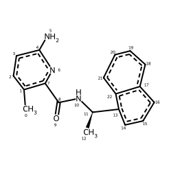 Cc1ccc(N)nc1C(=O)N[C@H](C)c1cccc2ccccc12